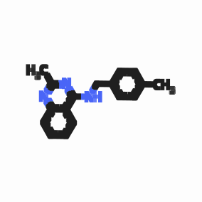 Cc1ccc(CNc2nc(C)nc3ccccc23)cc1